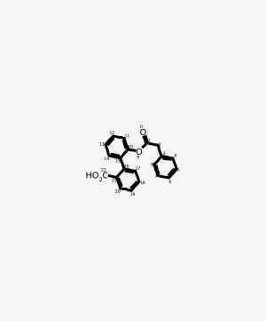 O=C(Cc1ccccc1)Oc1ccccc1-c1ccccc1C(=O)O